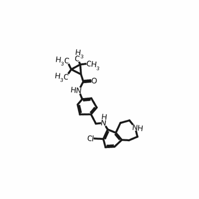 CC1(C)C(C(=O)Nc2ccc(CNc3c(Cl)ccc4c3CCNCC4)cc2)C1(C)C